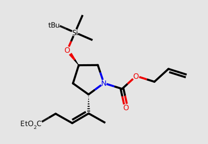 C=CCOC(=O)N1C[C@H](O[Si](C)(C)C(C)(C)C)C[C@H]1/C(C)=C\CC(=O)OCC